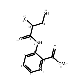 COC(=O)c1ncccc1NC(=O)C(C)CS